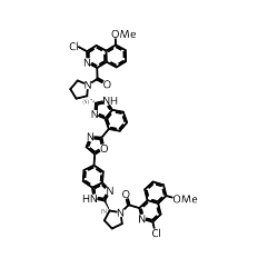 COc1cccc2c(C(=O)N3CCC[C@H]3c3nc4cc(-c5cnc(-c6cccc7[nH]c([C@@H]8CCCN8C(=O)c8nc(Cl)cc9c(OC)cccc89)nc67)o5)ccc4[nH]3)nc(Cl)cc12